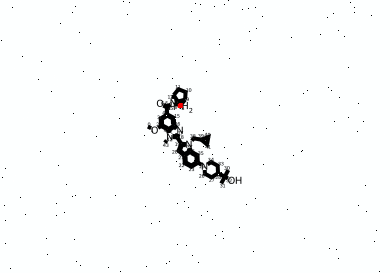 COc1cc(C(=O)N2CC3CCC2[C@@H]3N)cc2nc(-c3cc4ccc(N5CCC(C(C)(C)O)CC5)cc4n3CC3CC3)n(C)c12